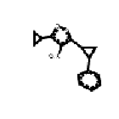 O=Cc1c(C2CC2c2ccccc2)noc1C1CC1